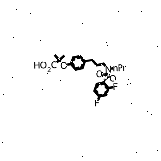 CCCN(CCCc1ccc(OC(C)(C)C(=O)O)cc1)S(=O)(=O)c1ccc(F)cc1F